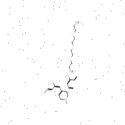 C=C/C(=C\C(=C)[C@@H]1CN(C)CC=C1/C=C(Cl)\C=C\Cl)SNCCOCCOCCOCCN